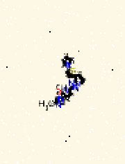 COc1nc(-c2nc3n(n2)CCCC3c2ccc(N3CCCCC3)s2)ccc1-n1cnc(C)c1